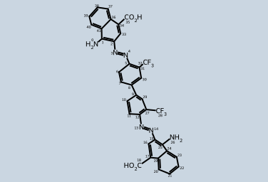 Nc1c(/N=N/c2ccc(-c3ccc(/N=N/c4cc(C(=O)O)c5ccccc5c4N)c(C(F)(F)F)c3)cc2C(F)(F)F)cc(C(=O)O)c2ccccc12